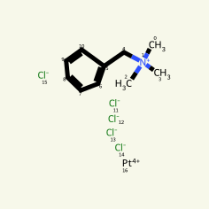 C[N+](C)(C)Cc1ccccc1.[Cl-].[Cl-].[Cl-].[Cl-].[Cl-].[Pt+4]